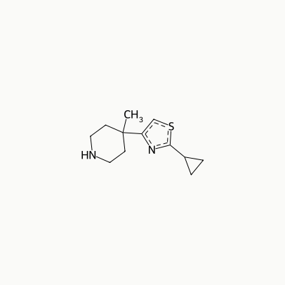 CC1(c2csc(C3CC3)n2)CCNCC1